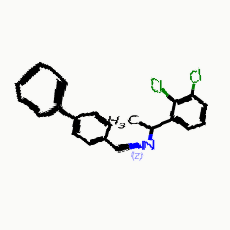 CC(/N=C\c1ccc(-c2ccccc2)cc1)c1cccc(Cl)c1Cl